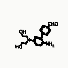 Nc1ccc(N(CCO)CCO)cc1-c1ccc(C=O)cc1